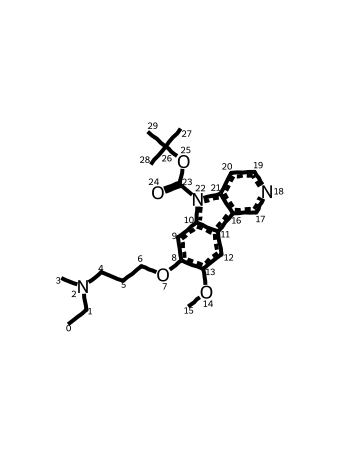 CCN(C)CCCOc1cc2c(cc1OC)c1cnccc1n2C(=O)OC(C)(C)C